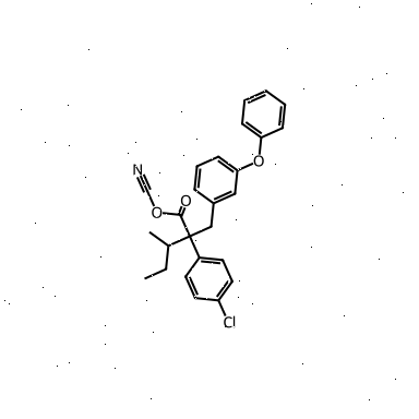 CCC(C)C(Cc1cccc(Oc2ccccc2)c1)(C(=O)OC#N)c1ccc(Cl)cc1